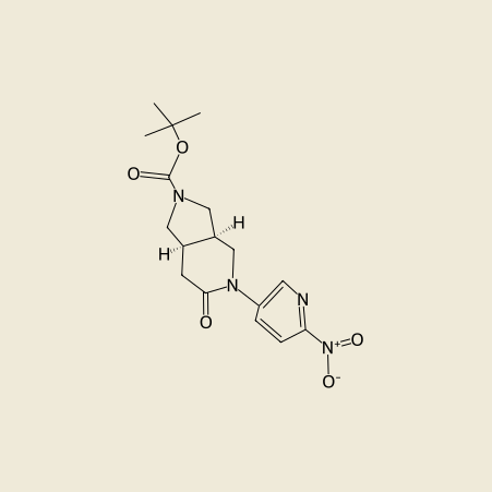 CC(C)(C)OC(=O)N1C[C@@H]2CC(=O)N(c3ccc([N+](=O)[O-])nc3)C[C@@H]2C1